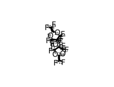 FC(F)=C1OC(F)(F)C(F)(OC2(F)C(F)(F)OC(=C(F)F)OC2(F)F)C(F)(F)O1